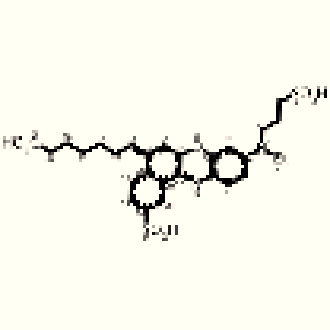 CCN(CCCS(=O)(=O)O)c1ccc2c(c1)Oc1c/c(=C/CCCCCC(=O)O)c3ccc(S(=O)(=O)O)cc3c1=N2